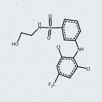 O=S(=O)(NCCO)c1cccc(Nc2c(Cl)cc(C(F)(F)F)cc2Cl)c1